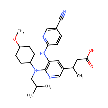 COC1CCC(N(CC(C)C)c2ncc(C(C)CC(=O)O)cc2Nc2ccc(C#N)cn2)CC1